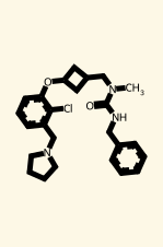 CN(CC1CC(Oc2cccc(CN3CCCC3)c2Cl)C1)C(=O)NCc1ccccc1